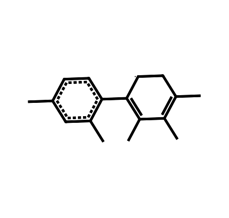 CC1=C(C)C(C)=C(c2ccc(C)cc2C)[CH]C1